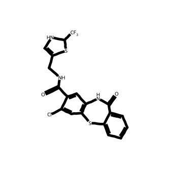 O=C(NCC1=CNC(C(F)(F)F)S1)c1cc2c(cc1Cl)Sc1ccccc1C(=O)N2